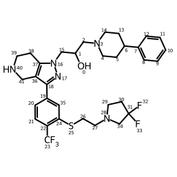 OC(CN1CCC(c2ccccc2)CC1)Cn1nc(-c2ccc(C(F)(F)F)c(SCCN3CCC(F)(F)C3)c2)c2c1CCNC2